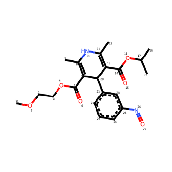 COCCOC(=O)C1=C(C)NC(C)=C(C(=O)OC(C)C)C1c1cccc(N=O)c1